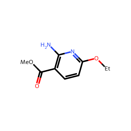 CCOc1ccc(C(=O)OC)c(N)n1